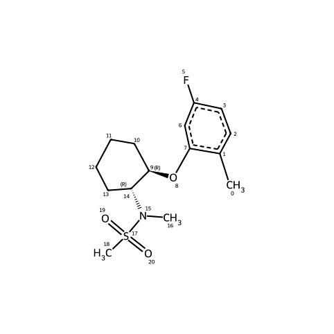 Cc1ccc(F)cc1O[C@@H]1CCCC[C@H]1N(C)S(C)(=O)=O